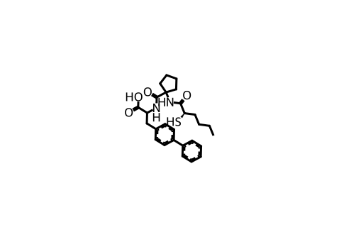 CCCC[C@@H](S)C(=O)NC1(C(=O)NC(Cc2ccc(-c3ccccc3)cc2)C(=O)O)CCCC1